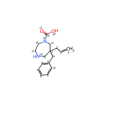 C=CCC1(Cc2ccccc2)CNCCN(C(=O)O)C1